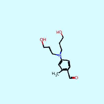 Cc1cc(N(CCCO)CCCO)ccc1C=O